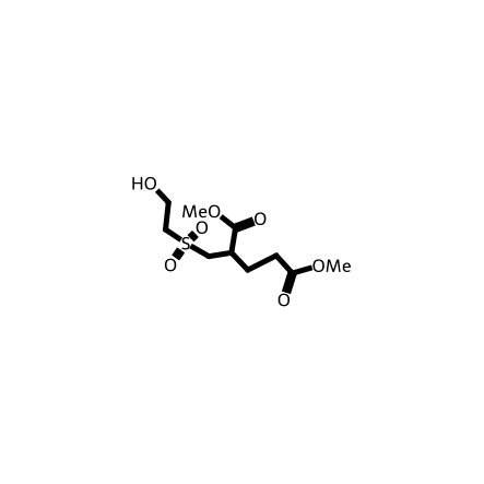 COC(=O)CCC(CS(=O)(=O)CCO)C(=O)OC